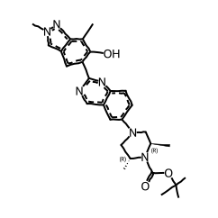 Cc1c(O)c(-c2ncc3cc(N4C[C@@H](C)N(C(=O)OC(C)(C)C)[C@H](C)C4)ccc3n2)cc2cn(C)nc12